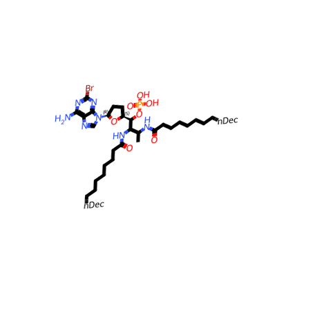 CCCCCCCCCCCCCCCCCC(=O)NC(C)C(NC(=O)CCCCCCCCCCCCCCCCC)C(OP(=O)(O)O)[C@@H]1CC[C@H](n2cnc3c(N)nc(Br)nc32)O1